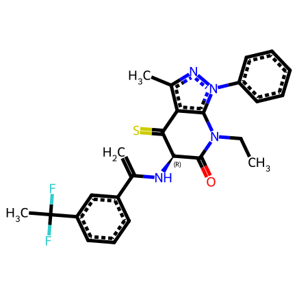 C=C(N[C@@H]1C(=O)N(CC)c2c(c(C)nn2-c2ccccc2)C1=S)c1cccc(C(C)(F)F)c1